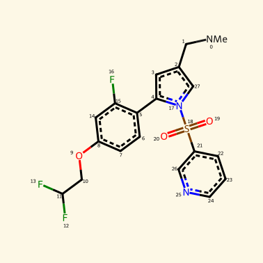 CNCc1cc(-c2ccc(OCC(F)F)cc2F)n(S(=O)(=O)c2cccnc2)c1